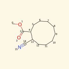 COC(=O)C1CCCCCCCCC1C#N